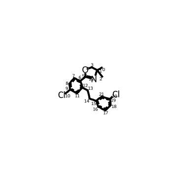 CC1(C)COC(c2ccc(Cl)cc2CCc2cccc(Cl)c2)=N1